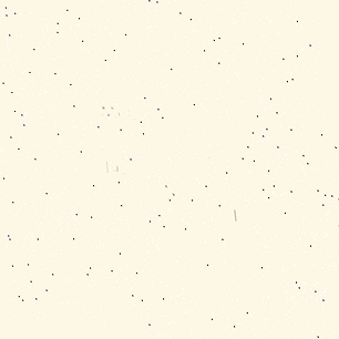 COc1ccc(C)nc1C(C)(C)C